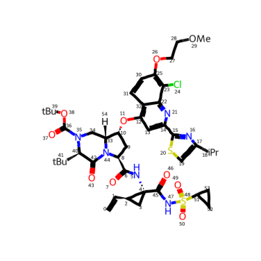 C=C[C@@H]1C[C@]1(NC(=O)[C@@H]1C[C@@H](Oc2cc(-c3nc(C(C)C)cs3)nc3c(Cl)c(OCCOC)ccc23)[C@H]2CN(C(=O)OC(C)(C)C)[C@H](C(C)(C)C)C(=O)N21)C(=O)NS(=O)(=O)C1CC1